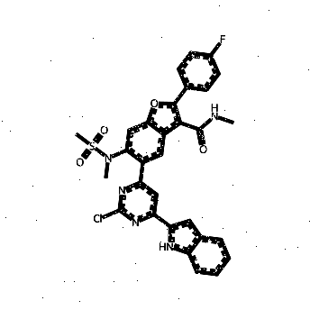 CNC(=O)c1c(-c2ccc(F)cc2)oc2cc(N(C)S(C)(=O)=O)c(-c3cc(-c4cc5ccccc5[nH]4)nc(Cl)n3)cc12